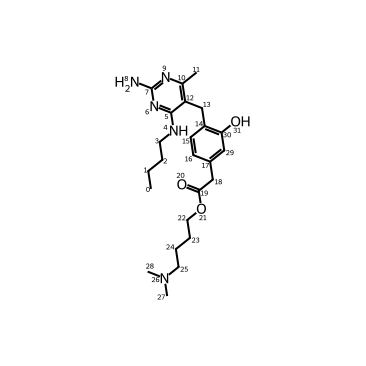 CCCCNc1nc(N)nc(C)c1Cc1ccc(CC(=O)OCCCCN(C)C)cc1O